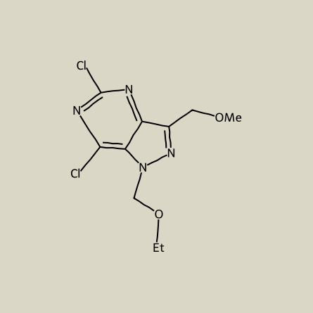 CCOCn1nc(COC)c2nc(Cl)nc(Cl)c21